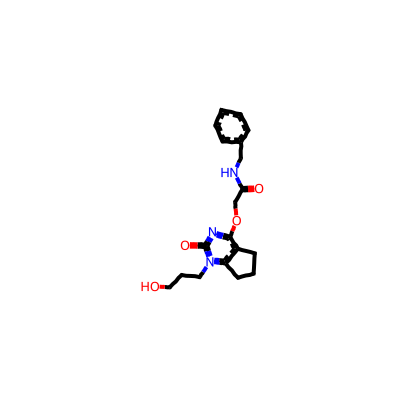 O=C(COc1nc(=O)n(CCCO)c2c1CCC2)NCc1ccccc1